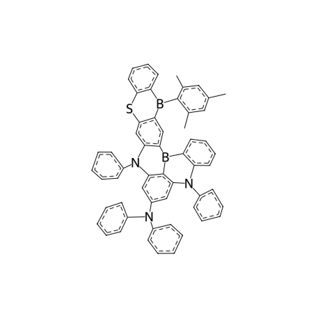 Cc1cc(C)c(B2c3ccccc3Sc3cc4c(cc32)B2c3ccccc3N(c3ccccc3)c3cc(N(c5ccccc5)c5ccccc5)cc(c32)N4c2ccccc2)c(C)c1